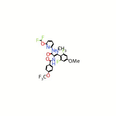 COc1cc(F)c(-c2c(NC(=O)c3ccc(OC(F)(F)F)cc3)c(=O)n(-c3cccc(OC(F)F)n3)n2C)c(F)c1